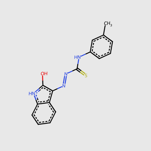 Cc1cccc(NC(=S)N=Nc2c(O)[nH]c3ccccc23)c1